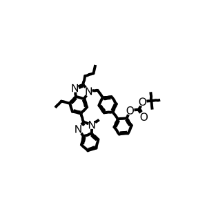 CCCc1nc2c(CC)cc(-c3nc4ccccc4n3C)cc2n1Cc1ccc(-c2ccccc2OC(=O)OC(C)(C)C)cc1